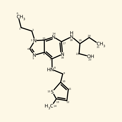 CCCn1cnc2c(NCc3ccc(C)s3)nc(NC(CC)CO)nc21